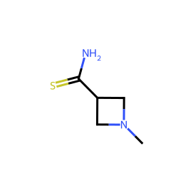 CN1CC(C(N)=S)C1